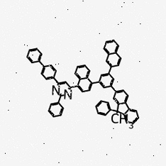 CC1(c2ccccc2)c2ccccc2-c2ccc(-c3cc(-c4ccc5ccccc5c4)cc(-c4ccc(-c5cc(-c6ccc(-c7ccccc7)cc6)nc(-c6ccccc6)n5)c5ccccc45)c3)cc21